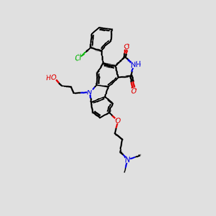 CN(C)CCCOc1ccc2c(c1)c1c3c(c(-c4ccccc4Cl)cc1n2CCCO)C(=O)NC3=O